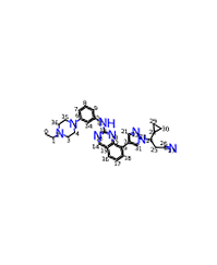 CCN1CCN(c2cccc(Nc3ncc4cccc(-c5cnn(C(CC#N)C6CC6)c5)c4n3)c2)CC1